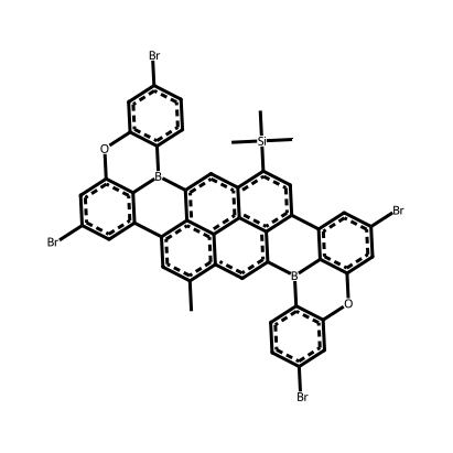 Cc1cc2c3c(cc4c([Si](C)(C)C)cc5c6c(cc1c3c46)B1c3ccc(Br)cc3Oc3cc(Br)cc-5c31)B1c3ccc(Br)cc3Oc3cc(Br)cc-2c31